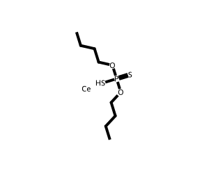 CCCCOP(=S)(S)OCCCC.[Ce]